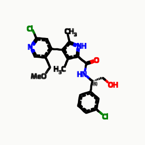 COCc1cnc(Cl)cc1-c1c(C)[nH]c(C(=O)N[C@H](CO)c2cccc(Cl)c2)c1C